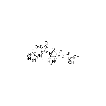 CN(c1nnn[nH]1)c1c(N2C[C@H](CCCB(O)O)[C@@](C)(N)C2)c(=O)c1=O